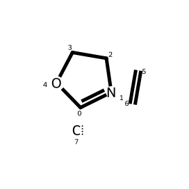 C1=NCCO1.C=C.[C]